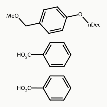 CCCCCCCCCCOc1ccc(COC)cc1.O=C(O)c1ccccc1.O=C(O)c1ccccc1